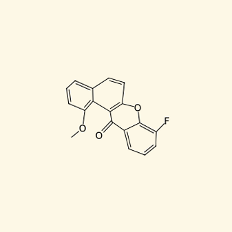 COc1cccc2ccc3oc4c(F)cccc4c(=O)c3c12